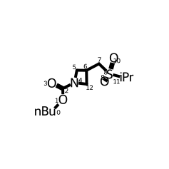 CCCCOC(=O)N1CC(CS(=O)(=O)C(C)C)C1